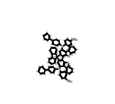 CC(C)(C)c1ccc(N(c2ccc(-c3ccccc3)cc2)c2cc3c(c4oc5ccccc5c24)-c2c(cc(N(c4ccc(-c5ccccc5)cc4)c4ccc(C(C)(C)C)cc4)c4c2sc2ccccc24)C32c3ccccc3-c3ccccc32)cc1